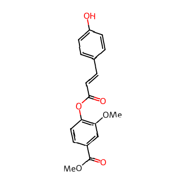 COC(=O)c1ccc(OC(=O)C=Cc2ccc(O)cc2)c(OC)c1